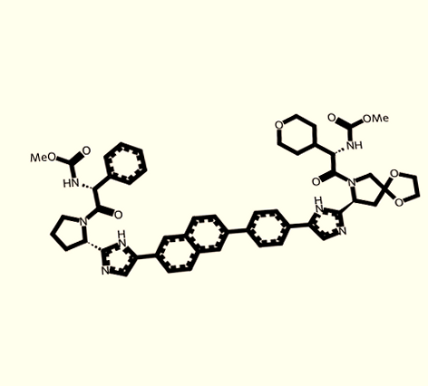 COC(=O)N[C@H](C(=O)N1CC2(C[C@H]1c1ncc(-c3ccc(-c4ccc5cc(-c6cnc([C@@H]7CCCN7C(=O)[C@H](NC(=O)OC)c7ccccc7)[nH]6)ccc5c4)cc3)[nH]1)OCCO2)C1CCOCC1